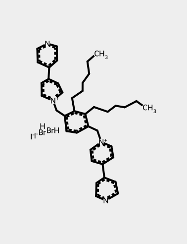 Br.Br.CCCCCCc1c(C[n+]2ccc(-c3ccncc3)cc2)ccc(C[n+]2ccc(-c3ccncc3)cc2)c1CCCCCC.[I-].[I-]